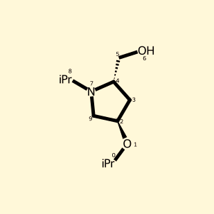 CC(C)O[C@@H]1C[C@@H](CO)N(C(C)C)C1